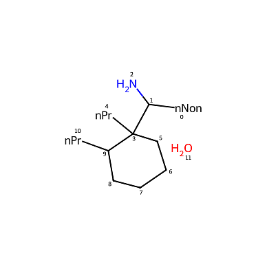 CCCCCCCCCC(N)C1(CCC)CCCCC1CCC.O